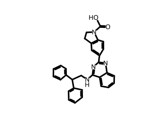 O=C(O)N1CCc2cc(-c3nc(NCC(c4ccccc4)c4ccccc4)c4ccccc4n3)ccc21